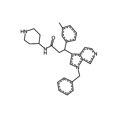 Cc1cccc(C(CC(=O)NC2CCNCC2)c2cn(Cc3ccccc3)c3cnccc23)c1